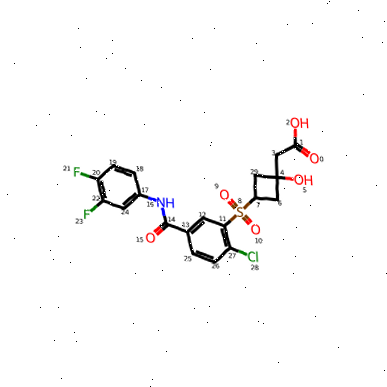 O=C(O)CC1(O)CC(S(=O)(=O)c2cc(C(=O)Nc3ccc(F)c(F)c3)ccc2Cl)C1